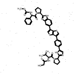 COC(=O)N[C@@H](C(=O)N1CCCC1c1nc2cc(-c3csc4c(-c5ccc(-c6cnc(C7CCCN7C(=O)[C@@H](NC(=O)CO)C(C)C)[nH]6)cc5)csc34)ccc2[nH]1)c1ccccc1